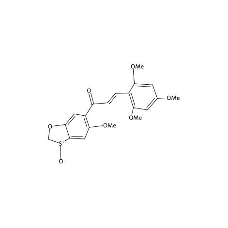 COc1cc(OC)c(C=CC(=O)c2cc3c(cc2OC)[S+]([O-])CO3)c(OC)c1